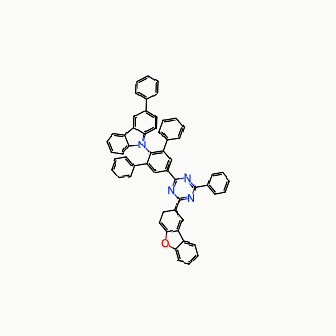 C1=c2oc3ccccc3c2=CC(c2nc(-c3ccccc3)nc(-c3cc(-c4ccccc4)c(-n4c5ccccc5c5cc(-c6ccccc6)ccc54)c(-c4ccccc4)c3)n2)C1